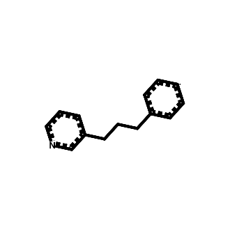 [c]1ccc(CCCc2cccnc2)cc1